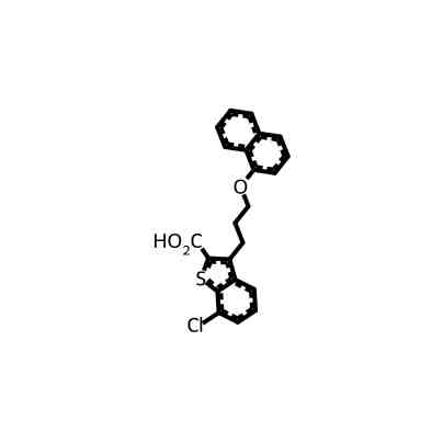 O=C(O)c1sc2c(Cl)cccc2c1CCCOc1cccc2ccccc12